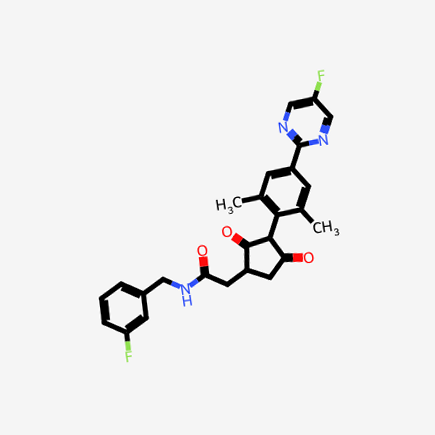 Cc1cc(-c2ncc(F)cn2)cc(C)c1C1C(=O)CC(CC(=O)NCc2cccc(F)c2)C1=O